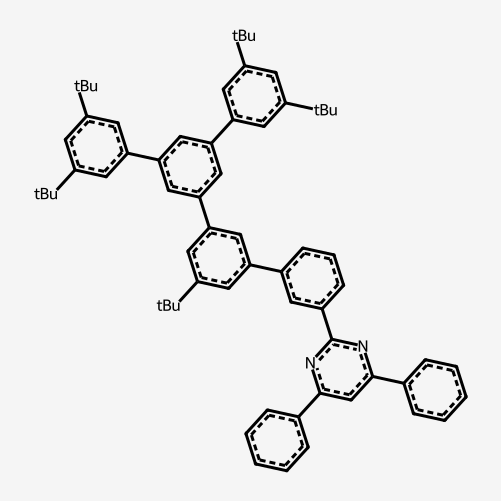 CC(C)(C)c1cc(-c2cc(-c3cc(C(C)(C)C)cc(C(C)(C)C)c3)cc(-c3cc(C(C)(C)C)cc(C(C)(C)C)c3)c2)cc(-c2cccc(-c3nc(-c4ccccc4)cc(-c4ccccc4)n3)c2)c1